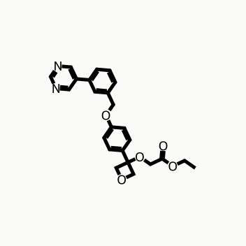 CCOC(=O)COC1(c2ccc(OCc3cccc(-c4cncnc4)c3)cc2)COC1